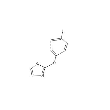 Ic1ccc(Oc2n[c]cs2)cc1